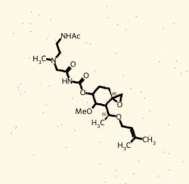 COC1C(OC(=O)NC(=O)CN(C)CCNC(C)=O)CC[C@]2(CO2)C1[C@H](C)OCC=C(C)C